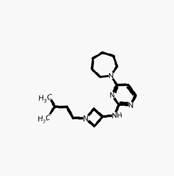 CC(C)CCN1CC(Nc2nccc(N3CCCCCC3)n2)C1